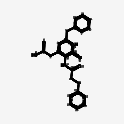 O=C(O)Cc1cc(Cc2ccccc2)[nH]c(=O)c1NC(=O)CCc1ccccc1